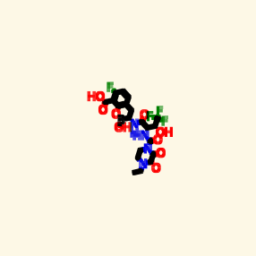 CCN1CCN(C(=O)N[C@H](C(=O)N[C@H]2Cc3ccc(F)c(C(=O)O)c3OB2O)[C@H](O)C(F)(F)F)C(=O)C1=O